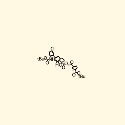 CC(C)(C)OC(=O)Nc1ccc(Cl)cc1-c1cnc2c(c1)CCC2(O)C(=O)OCC(=O)c1ccc(C(=O)OC(C)(C)C)s1